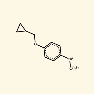 O=C(O)Nc1ccc(OCC2CC2)cc1